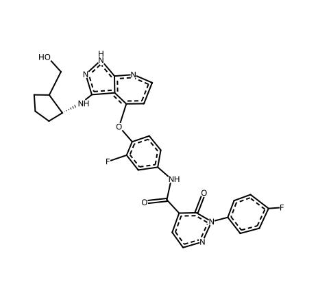 O=C(Nc1ccc(Oc2ccnc3[nH]nc(N[C@@H]4CCCC4CO)c23)c(F)c1)c1ccnn(-c2ccc(F)cc2)c1=O